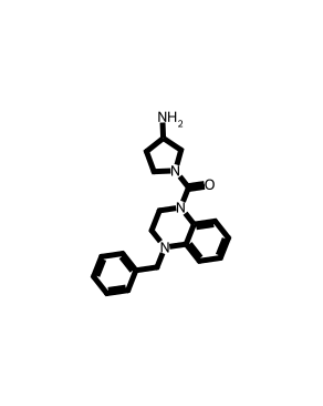 NC1CCN(C(=O)N2CCN(Cc3ccccc3)c3ccccc32)C1